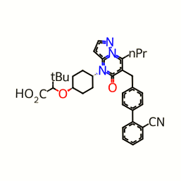 CCCc1c(Cc2ccc(-c3ccccc3C#N)cc2)c(=O)n([C@H]2CC[C@H](OC(C(=O)O)C(C)(C)C)CC2)c2ccnn12